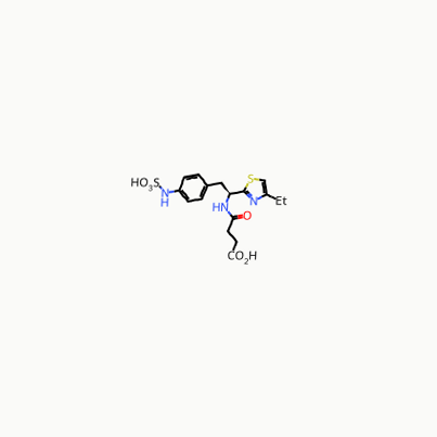 CCc1csc([C@H](Cc2ccc(NS(=O)(=O)O)cc2)NC(=O)CCC(=O)O)n1